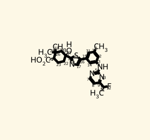 Cc1cc(Nc2nccc([C@@H](C)F)n2)cc(-c2cnc([C@@]3(O)CC[C@H](C(=O)O)C(C)(C)C3)s2)c1